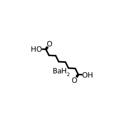 O=C(O)CCCCCCC(=O)O.[BaH2]